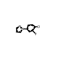 Fc1cc(-n2c[c]cn2)ccc1Cl